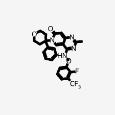 Cc1nc(NOc2cccc(C(F)(F)F)c2F)c2cn(C3(c4ccccc4)CCOCC3)c(=O)cc2n1